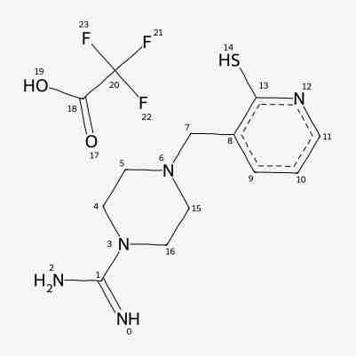 N=C(N)N1CCN(Cc2cccnc2S)CC1.O=C(O)C(F)(F)F